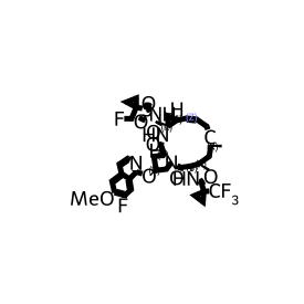 COc1cc2ccnc(O[C@@H]3C[C@H]4C(=O)N[C@]5(C(=O)NS(=O)(=O)C6(CF)CC6)C[C@H]5/C=C\CC[C@@H](C)C[C@@H](C)[C@H](NC(=O)C5(C(F)(F)F)CC5)C(=O)N4C3)c2cc1F